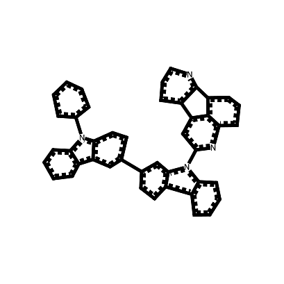 c1ccc(-n2c3ccccc3c3cc(-c4ccc5c6ccccc6n(-c6cc7c8c(cccc8n6)-c6ncccc6-7)c5c4)ccc32)cc1